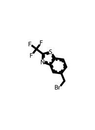 FC(F)(F)c1nc2cc(CBr)ccc2s1